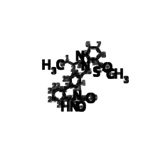 CCCc1nc2cccc(C(=S)OC)c2n1Cc1ccc(-c2ccccc2-c2nc(=O)o[nH]2)cc1